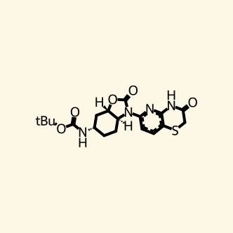 CC(C)(C)OC(=O)N[C@H]1CC[C@H]2[C@H](C1)OC(=O)N2c1ccc2c(n1)NC(=O)CS2